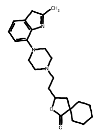 CC1=Nc2c(cccc2N2CCN(CCC3CC4(CCCCC4)C(=O)O3)CC2)C1